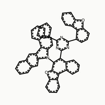 c1ccc(-c2nc(-c3c(-n4c5cc6ccccc6cc5c5c6ccccc6ccc54)c4oc5ccccc5c4c4ccccc34)nc(-c3cccc4oc5ccccc5c34)n2)cc1